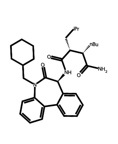 CCCC[C@H](C(N)=O)[C@@H](CC(C)C)C(=O)N[C@@H]1C(=O)N(CC2CCCCC2)c2ccccc2-c2ccccc21